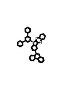 c1ccc(-c2cc(-c3ccccc3)cc(-n3c4ccc(-c5cc6ccccc6c6ccccc56)cc4c4nc5ccccc5nc43)c2)cc1